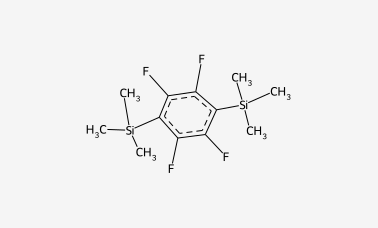 C[Si](C)(C)c1c(F)c(F)c([Si](C)(C)C)c(F)c1F